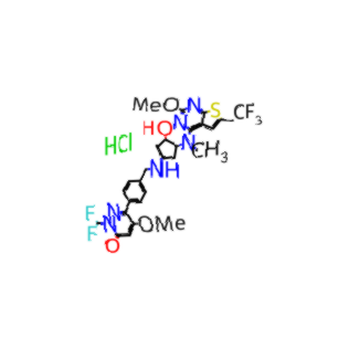 COc1nc(N(C)[C@H]2C[C@@H](NCc3ccc(-c4nn(C(F)F)c(=O)cc4OC)cc3)C[C@H]2O)c2cc(CC(F)(F)F)sc2n1.Cl